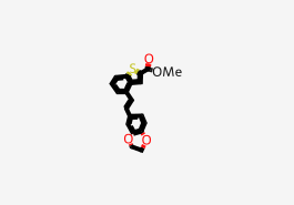 COC(=O)c1cc2c(/C=C/c3ccc4c(c3)OCCO4)cccc2s1